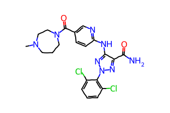 CN1CCCN(C(=O)c2ccc(Nc3nn(-c4c(Cl)cccc4Cl)nc3C(N)=O)nc2)CC1